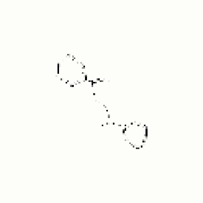 O=C(NCC(O)c1ccccc1)c1cccnc1